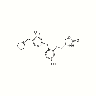 Cc1cc(Cc2[c]cc(O)cc2OCC2COC(=O)N2)ccc1CN1CCCC1